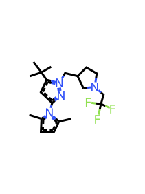 Cc1ccc(C)n1-c1cc(C(C)(C)C)n(CC2CCN(CC(F)(F)F)C2)n1